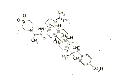 C=C(C)[C@@H]1CC[C@]2(NC(=O)C(C)N3CCS(=O)(=O)CC3)CC[C@]3(C)[C@H](CC[C@@H]4[C@@]5(C)CC=C(c6ccc(C(=O)O)cc6)C(C)(C)[C@@H]5CC[C@]43C)[C@@H]12